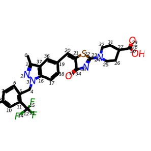 Cc1nn(Cc2ccc(Cl)cc2C(F)(F)F)c2ccc(C=C3SC(N4CCC(C(=O)O)CC4)=NC3=O)cc12